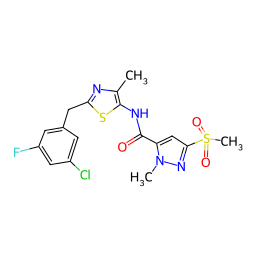 Cc1nc(Cc2cc(F)cc(Cl)c2)sc1NC(=O)c1cc(S(C)(=O)=O)nn1C